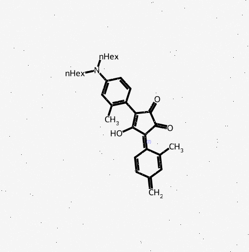 C=c1cc/c(=C2/C(=O)C(=O)C(c3ccc(N(CCCCCC)CCCCCC)cc3C)=C2O)c(C)c1